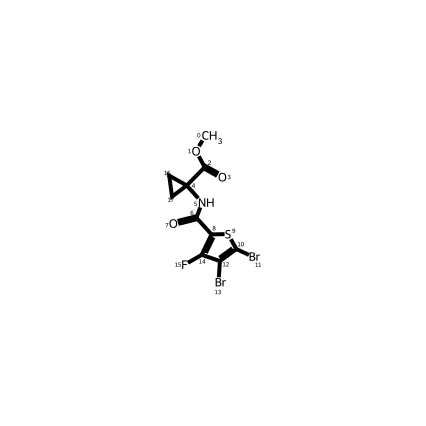 COC(=O)C1(NC(=O)c2sc(Br)c(Br)c2F)CC1